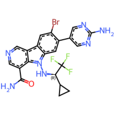 NC(=O)c1cncc2c3cc(Br)c(-c4cnc(N)nc4)cc3n(N[C@H](C3CC3)C(F)(F)F)c12